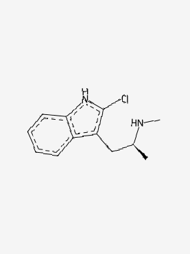 CN[C@@H](C)Cc1c(Cl)[nH]c2ccccc12